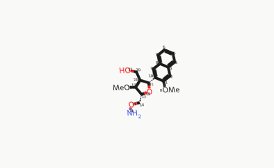 COc1cc2ccccc2cc1[C@@H]1O[C@H](CON)C(OC)C1CO